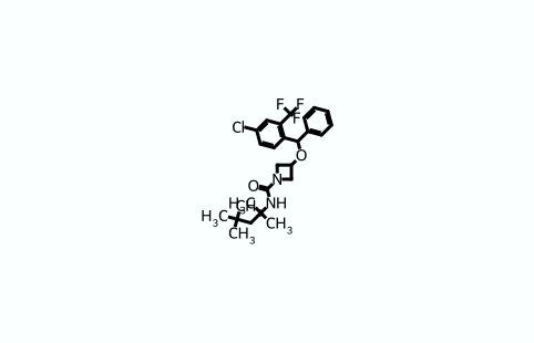 CC(C)(C)CC(C)(C)NC(=O)N1CC(OC(c2ccccc2)c2ccc(Cl)cc2C(F)(F)F)C1